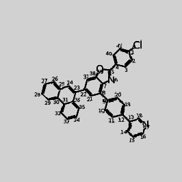 Clc1ccc(-c2nc3c(-c4ccc(-c5cccnc5)cc4)cc(-c4cc5ccccc5c5ccccc45)cc3o2)cc1